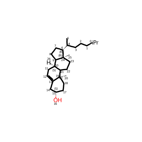 CC(C)CCCC(C)[C@H]1CCC2[C@@H]3CC=C4C[C@@H](O)CC[C@]4(C)C3CC[C@@]21C